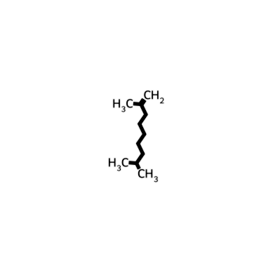 C=C(C)CCCCCC(C)C